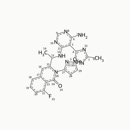 Cc1noc(-c2c(N)ncnc2NC(C)c2cc3cccc(F)c3c(=O)n2-c2cc[nH]n2)n1